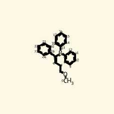 COCC/C=C(\B(c1ccccc1)c1ccccc1)c1ccccc1